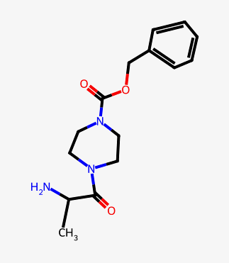 CC(N)C(=O)N1CCN(C(=O)OCc2ccccc2)CC1